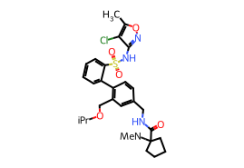 CNC1(C(=O)NCc2ccc(-c3ccccc3S(=O)(=O)Nc3noc(C)c3Cl)c(COC(C)C)c2)CCCC1